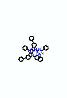 c1ccc(-c2ccc3c(c2)c2c(c4c(c5cc(-c6ccccc6)ccc5n4-c4nc(-c5ccccc5)nc(-c5ccccc5)n4)n2-c2ccccc2)n3-c2ccccc2)cc1